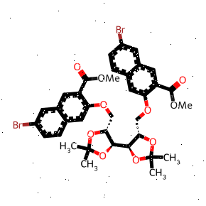 COC(=O)c1cc2cc(Br)ccc2cc1OC[C@@H]1OC(C)(C)O[C@H]1[C@H]1OC(C)(C)O[C@@H]1COc1cc2ccc(Br)cc2cc1C(=O)OC